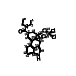 CCN(CC)C(=O)[C@@H]1C=C2c3cccc4[nH]cc(c34)C[C@H]2N(C)C1.[Cl][Ti]([Cl])([Cl])[Cl]